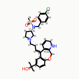 CC(C)(O)c1ccc2c(c1)/C(=C/CCN1CC[C@H](N(Cc3ccc(Cl)cc3)S(C)(=O)=O)C1)C1=C(CO2)NCC=C1